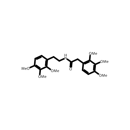 COc1ccc(CCNC(=O)Cc2ccc(OC)c(OC)c2OC)c(OC)c1OC